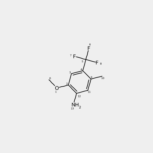 COc1cc(C(F)(F)F)c(C)cc1N